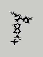 CC(C)(C)OC(=O)N1CC2CN(c3sc(N)nc3-c3cc(Cl)cs3)CC2C1